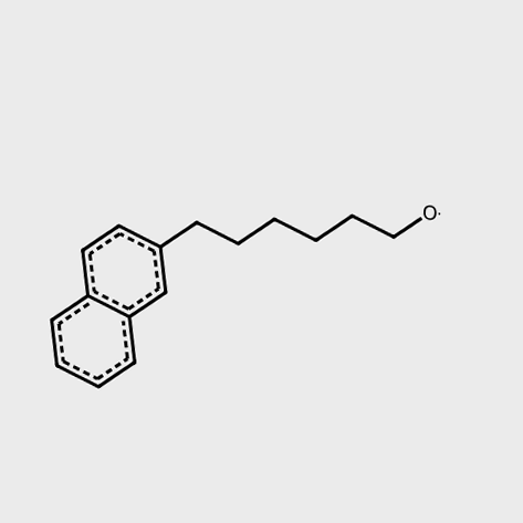 [O]CCCCCCc1ccc2ccccc2c1